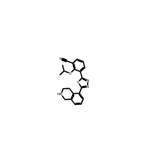 CC(C)Oc1c(C#N)cccc1-c1nnc(-c2cccc3c2CCNC3)s1